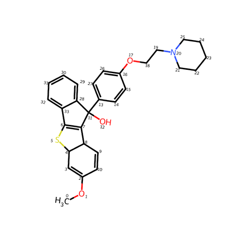 COC1=CC2SC3=C(C2C=C1)C(O)(c1ccc(OCCN2CCCCC2)cc1)c1ccccc13